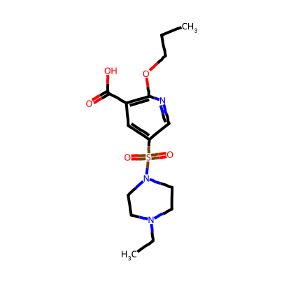 CCCOc1ncc(S(=O)(=O)N2CCN(CC)CC2)cc1C(=O)O